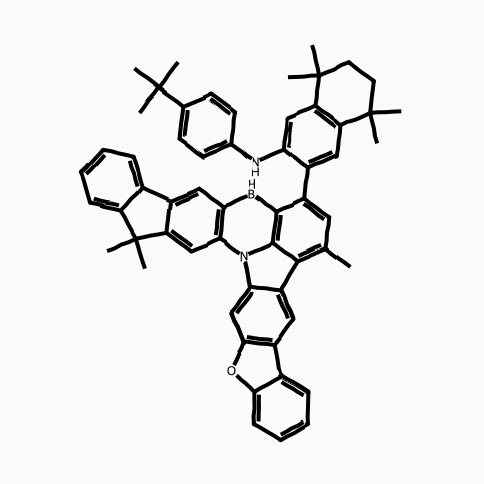 Cc1cc(-c2cc3c(cc2Nc2ccc(C(C)(C)C)cc2)C(C)(C)CCC3(C)C)c2c3c1c1cc4c(cc1n3-c1cc3c(cc1B2)-c1ccccc1C3(C)C)oc1ccccc14